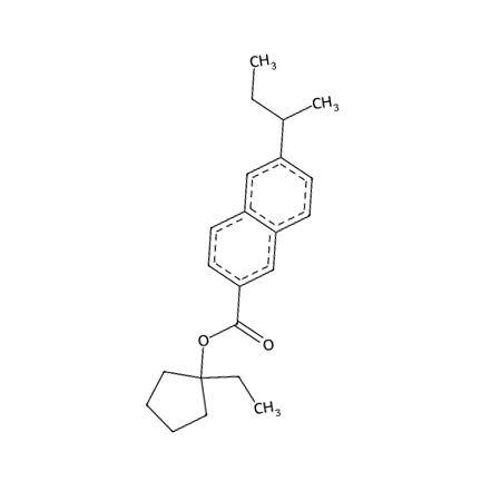 CCC(C)c1ccc2cc(C(=O)OC3(CC)CCCC3)ccc2c1